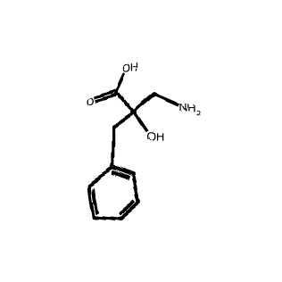 NCC(O)(Cc1ccccc1)C(=O)O